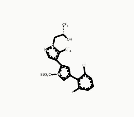 CCOC(=O)n1cc(-c2c(F)cccc2Cl)cc1-c1cnn(C[C@@H](O)C(F)(F)F)c1C(F)(F)F